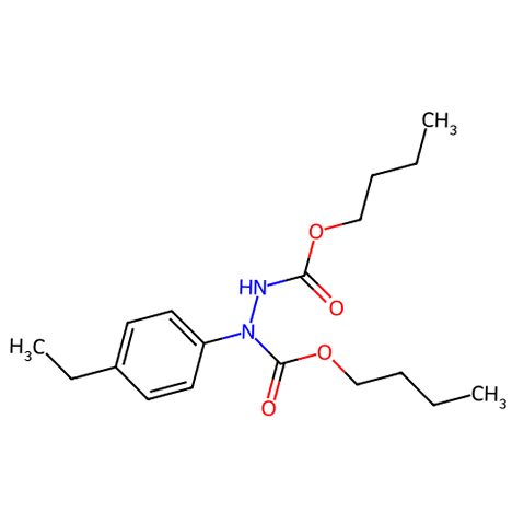 CCCCOC(=O)NN(C(=O)OCCCC)c1ccc(CC)cc1